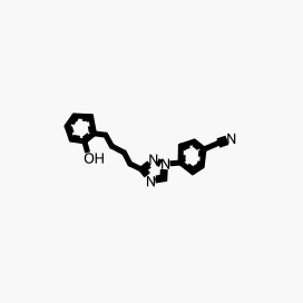 N#Cc1ccc(-n2cnc(CCCCc3ccccc3O)n2)cc1